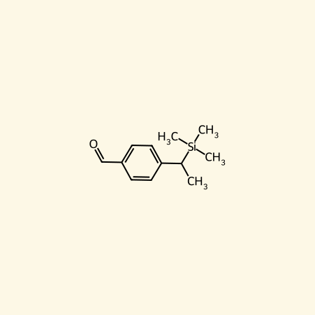 CC(c1ccc(C=O)cc1)[Si](C)(C)C